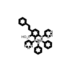 O=S(=O)(O)c1c(C=Cc2ccccc2)ccc(N(Nc2ccccc2)c2ccnnn2)c1N(Nc1ccccc1)c1ccnnn1